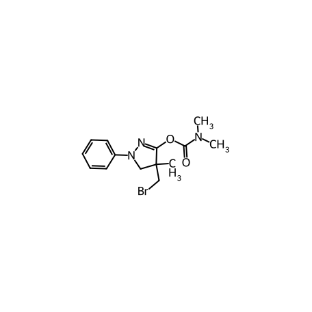 CN(C)C(=O)OC1=NN(c2ccccc2)CC1(C)CBr